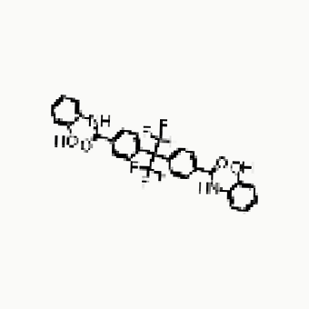 O=C(Nc1ccccc1O)c1ccc(C(c2ccc(C(=O)Nc3ccccc3O)cc2)(C(F)(F)F)C(F)(F)F)cc1